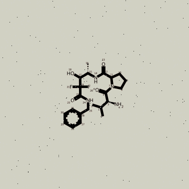 CC(C)[C@H](N)C(=O)N1CCCC1C(=O)N[C@@H](C)C(O)C(F)(F)C(=O)NCc1ccccc1